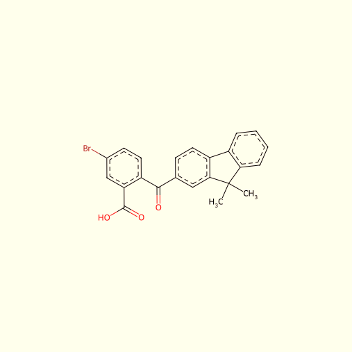 CC1(C)c2ccccc2-c2ccc(C(=O)c3ccc(Br)cc3C(=O)O)cc21